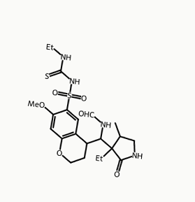 CCNC(=S)NS(=O)(=O)c1cc2c(cc1OC)OCCC2C(NC=O)C1(CC)C(=O)NCC1C